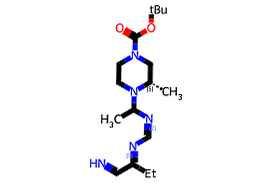 CC/C(C=N)=N\C=N/C(C)N1CCN(C(=O)OC(C)(C)C)C[C@@H]1C